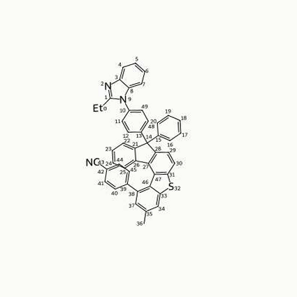 CCc1nc2ccccc2n1-c1ccc(C2(c3ccccc3)c3ccccc3-c3c2ccc2sc4cc(C)cc(-c5ccc(C#N)cc5)c4c32)cc1